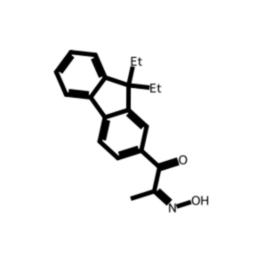 CCC1(CC)c2ccccc2-c2ccc(C(=O)/C(C)=N\O)cc21